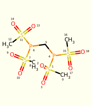 CS(=O)(=O)P(CP(S(C)(=O)=O)S(C)(=O)=O)S(C)(=O)=O